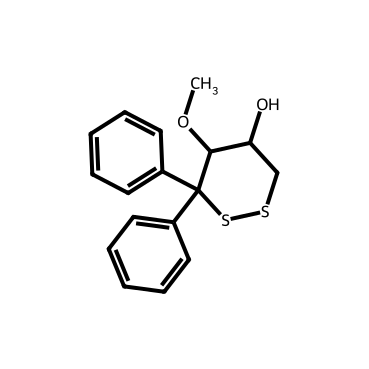 COC1C(O)CSSC1(c1ccccc1)c1ccccc1